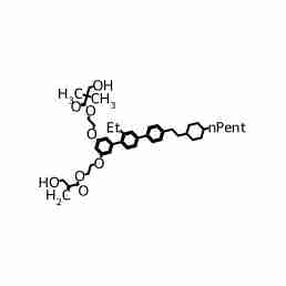 C=C(CO)C(=O)OCCOc1cc(OCCOC(=O)C(C)(C)CO)cc(-c2ccc(-c3ccc(CCC4CCC(CCCCC)CC4)cc3)cc2CC)c1